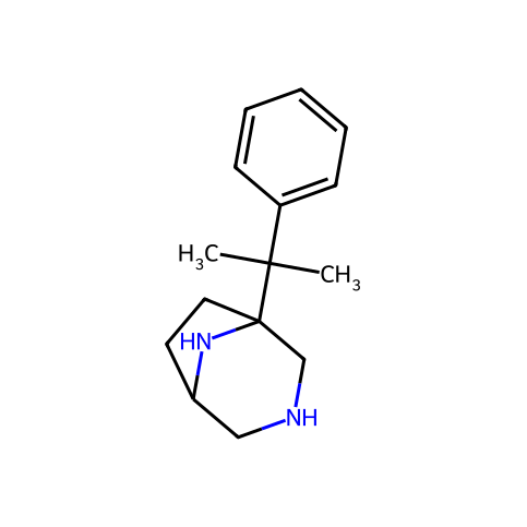 CC(C)(c1ccccc1)C12CCC(CNC1)N2